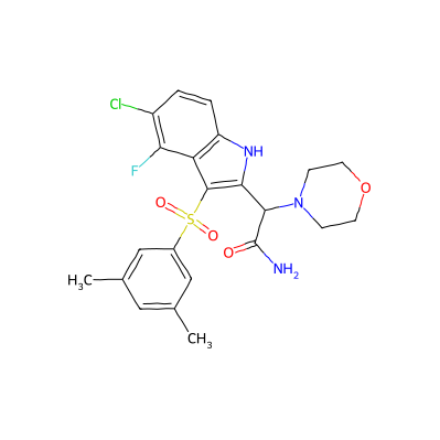 Cc1cc(C)cc(S(=O)(=O)c2c(C(C(N)=O)N3CCOCC3)[nH]c3ccc(Cl)c(F)c23)c1